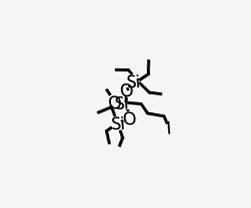 CC[Si](CC)(CC)O[Si](CCCI)(OC)O[Si](CC)(CC)CC